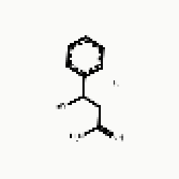 CCCC(CC(=N)N)c1ccccc1.Cl